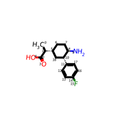 CC(C(=O)O)[C@@H]1CC[C@@H](N)[C@H](c2ccc(F)cc2)C1